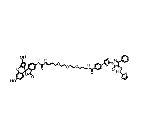 O=C(NCCCOCCOCCOCCCNC(=S)Nc1ccc2c(c1)C(=O)OC21c2ccc(O)cc2Oc2cc(O)ccc21)c1ccc(-c2csc(N3N=C(c4ccccc4)C(=NNc4nccs4)C3=O)n2)cc1